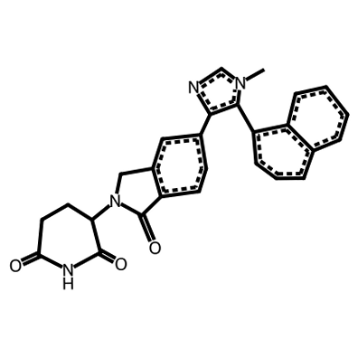 Cn1cnc(-c2ccc3c(c2)CN(C2CCC(=O)NC2=O)C3=O)c1-c1cccc2ccccc12